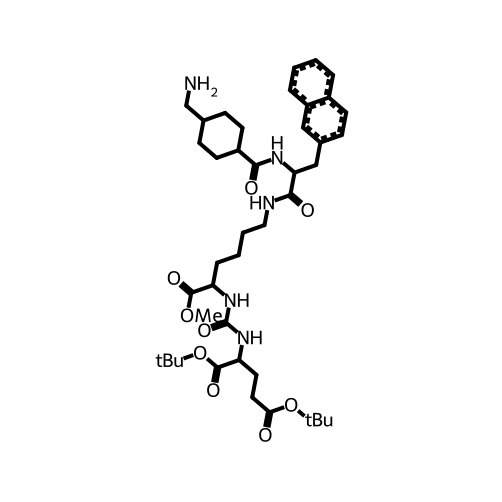 COC(=O)C(CCCCNC(=O)C(Cc1ccc2ccccc2c1)NC(=O)C1CCC(CN)CC1)NC(=O)NC(CCC(=O)OC(C)(C)C)C(=O)OC(C)(C)C